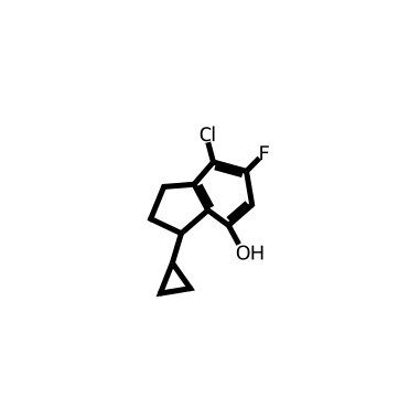 Oc1cc(F)c(Cl)c2c1C(C1CC1)CC2